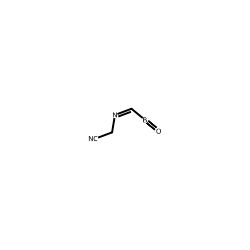 N#CC/N=C\B=O